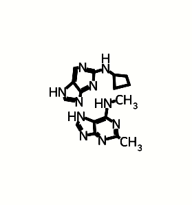 CNc1nc(C)nc2nc[nH]c12.c1nc2nc(NC3CCC3)ncc2[nH]1